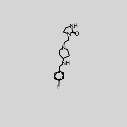 O=C1NCCN1CCN1CCC(NCc2ccc(F)cc2)CC1